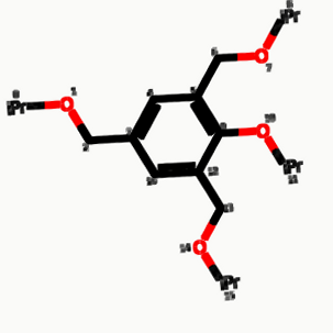 CC(C)OCc1cc(COC(C)C)c(OC(C)C)c(COC(C)C)c1